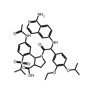 CCOc1cc(C(Nc2ccc3c(N)nccc3c2)C(=O)N2CCC(C(=O)O)C2c2cc(NC(C)=O)ccc2S(=O)(=O)C(C)C)ccc1OC(C)C